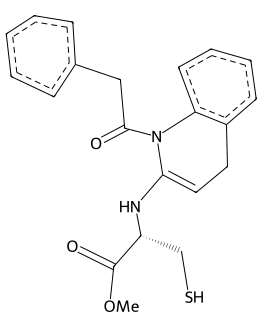 COC(=O)[C@@H](CS)NC1=CCc2ccccc2N1C(=O)Cc1ccccc1